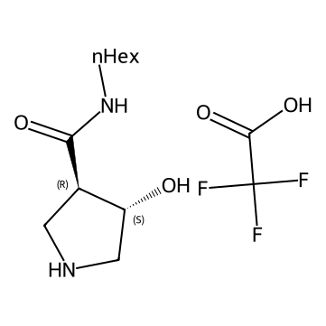 CCCCCCNC(=O)[C@@H]1CNC[C@H]1O.O=C(O)C(F)(F)F